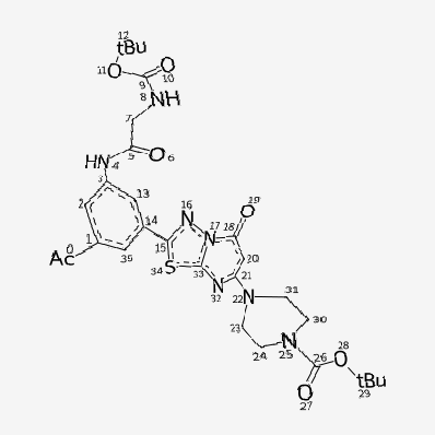 CC(=O)c1cc(NC(=O)CNC(=O)OC(C)(C)C)cc(-c2nn3c(=O)cc(N4CCN(C(=O)OC(C)(C)C)CC4)nc3s2)c1